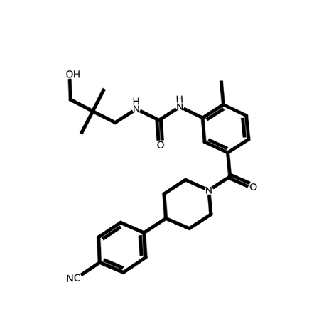 Cc1ccc(C(=O)N2CCC(c3ccc(C#N)cc3)CC2)cc1NC(=O)NCC(C)(C)CO